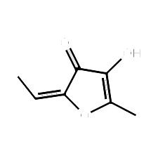 C/C=C1/OC(C)=C(O)C1=O